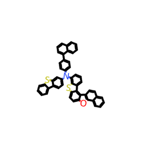 c1ccc2c(-c3ccc(N(c4ccc5c(c4)sc4ccccc45)c4cccc5c4sc4ccc6oc7c8ccccc8ccc7c6c45)cc3)cccc2c1